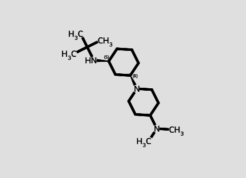 CN(C)C1CCN([C@@H]2CCC[C@H](NC(C)(C)C)C2)CC1